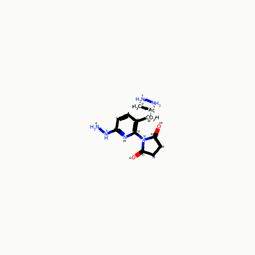 CC(C)=O.NN.NNc1ccc(C(=O)O)c(N2C(=O)CCC2=O)n1